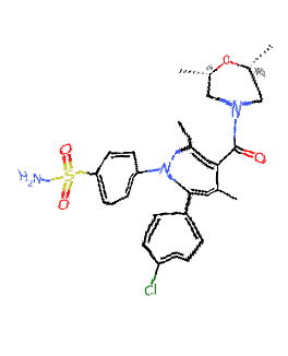 Cc1c(C(=O)N2C[C@@H](C)O[C@@H](C)C2)c(C)n(-c2ccc(S(N)(=O)=O)cc2)c1-c1ccc(Cl)cc1